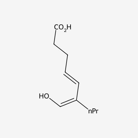 CCCC(C=CCCC(=O)O)=CO